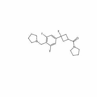 O=C(C1CC(F)(c2cc(F)c(CN3CCCC3)c(F)c2)C1)N1CCCC1